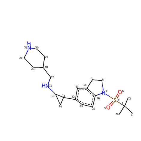 CC(C)(C)S(=O)(=O)N1CCc2cc(C3CC3NCC3CCNCC3)ccc21